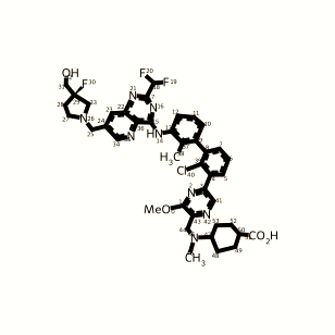 COc1nc(-c2cccc(-c3cccc(Nc4nc(C(F)F)nc5cc(CN6CC[C@](F)(CO)C6)cnc45)c3C)c2Cl)cnc1CN(C)C1CCC(C(=O)O)CC1